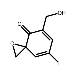 O=C1C(CO)=CC(I)=CC12CO2